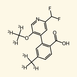 [2H]C([2H])([2H])Oc1cnc(C(F)F)cc1-c1cc(C([2H])([2H])[2H])ccc1C(=O)O